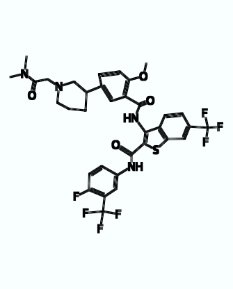 COc1ccc(C2CCCN(CC(=O)N(C)C)C2)cc1C(=O)Nc1c(C(=O)Nc2ccc(F)c(C(F)(F)F)c2)sc2cc(C(F)(F)F)ccc12